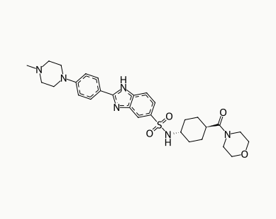 CN1CCN(c2ccc(-c3nc4cc(S(=O)(=O)N[C@H]5CC[C@H](C(=O)N6CCOCC6)CC5)ccc4[nH]3)cc2)CC1